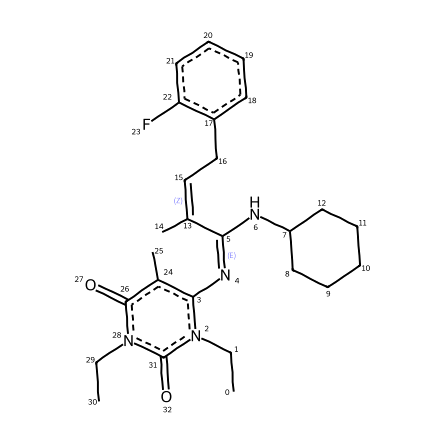 CCn1c(/N=C(NC2CCCCC2)\C(C)=C/Cc2ccccc2F)c(C)c(=O)n(CC)c1=O